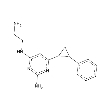 NCCNc1cc(C2CC2c2ccccc2)nc(N)n1